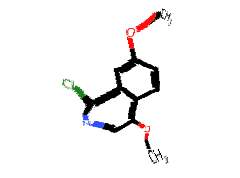 COc1ccc2c(OC)cnc(Cl)c2c1